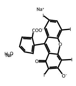 O.O=C([O-])c1ccccc1-c1c2c(=O)c(I)c([O-])c(I)c-2oc2c(I)cc(I)cc12.[Na+].[Na+]